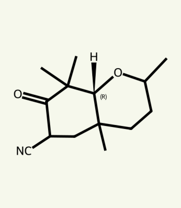 CC1CCC2(C)CC(C#N)C(=O)C(C)(C)[C@@H]2O1